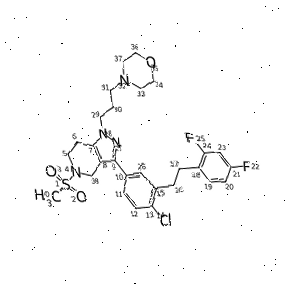 CS(=O)(=O)N1CCc2c(c(-c3ccc(Cl)c(CCc4ccc(F)cc4F)c3)nn2CCCN2CCOCC2)C1